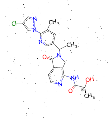 Cc1cc(C(C)N2Cc3c(ccnc3NC(=O)[C@H](C)O)C2=O)cnc1-n1cc(Cl)cn1